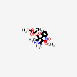 CCC1(OC(=O)C2=C(C)NC(C)=C(C(=O)OC)C2c2ccccc2[N+](=O)[O-])OC(C)O1